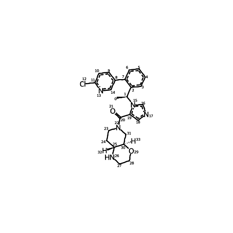 C[C@@H](c1ccccc1-c1ccc(Cl)nc1)n1cncc1C(=O)N1CC[C@H]2NCCO[C@@H]2C1